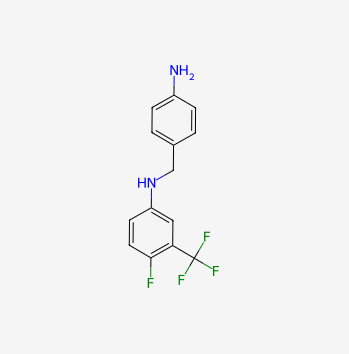 Nc1ccc(CNc2ccc(F)c(C(F)(F)F)c2)cc1